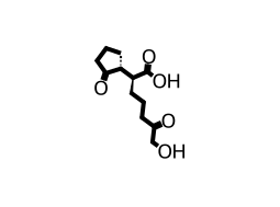 O=C(CO)CCC[C@H](C(=O)O)[C@H]1CCCC1=O